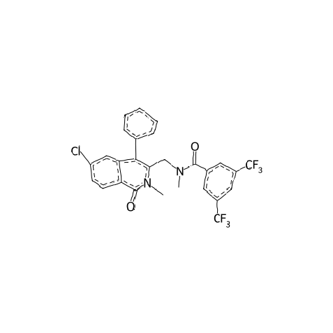 CN(Cc1c(-c2ccccc2)c2cc(Cl)ccc2c(=O)n1C)C(=O)c1cc(C(F)(F)F)cc(C(F)(F)F)c1